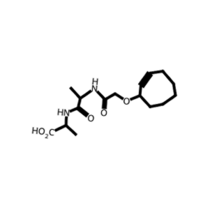 CC(NC(=O)C(C)NC(=O)COC1C#CCCCCC1)C(=O)O